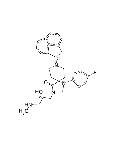 CNC[C@H](O)CN1CN(c2ccc(F)cc2)C2(CCN([C@@H]3Cc4cccc5cccc3c45)CC2)C1=O